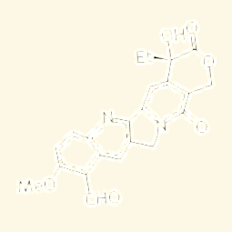 CC[C@@]1(O)C(=O)OCc2c1cc1n(c2=O)Cc2cc3c(C=O)c(OC)ccc3nc2-1